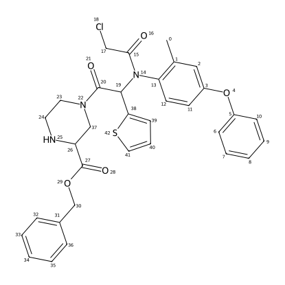 Cc1cc(Oc2ccccc2)ccc1N(C(=O)CCl)C(C(=O)N1CCNC(C(=O)OCc2ccccc2)C1)c1cccs1